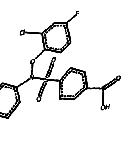 O=C(O)c1ccc(S(=O)(=O)N(Oc2ccc(F)cc2Cl)c2ccccc2)cc1